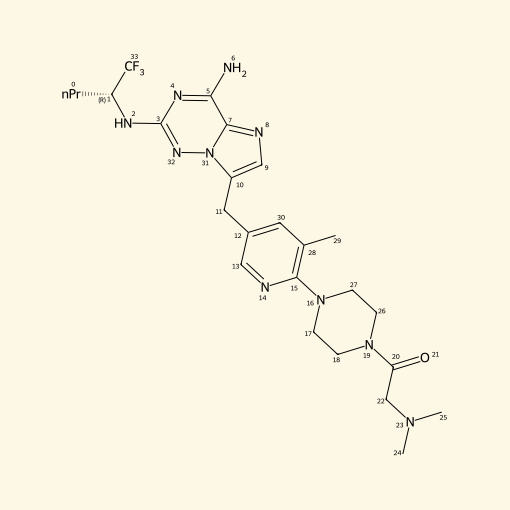 CCC[C@@H](Nc1nc(N)c2ncc(Cc3cnc(N4CCN(C(=O)CN(C)C)CC4)c(C)c3)n2n1)C(F)(F)F